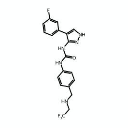 O=C(Nc1ccc(CNCC(F)(F)F)cc1)Nc1n[nH]cc1-c1cccc(F)c1